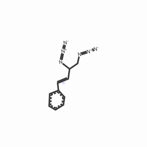 [N-]=[N+]=NCC(/C=C/c1ccccc1)N=[N+]=[N-]